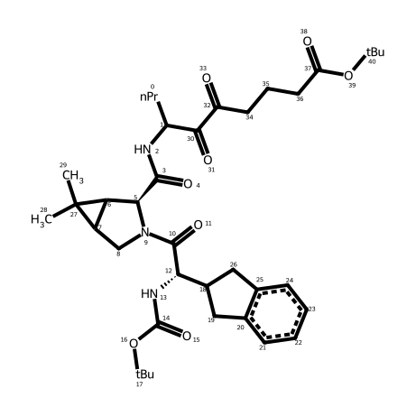 CCCC(NC(=O)[C@@H]1C2C(CN1C(=O)[C@@H](NC(=O)OC(C)(C)C)C1Cc3ccccc3C1)C2(C)C)C(=O)C(=O)CCCC(=O)OC(C)(C)C